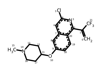 C=C(c1nc(Cl)cc2cc(OC3CCN(C)CC3)ccc12)C(F)(F)F